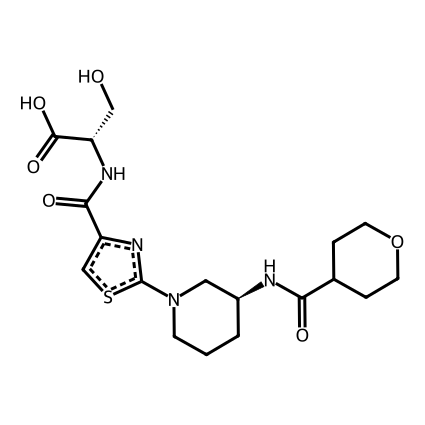 O=C(N[C@@H](CO)C(=O)O)c1csc(N2CCC[C@H](NC(=O)C3CCOCC3)C2)n1